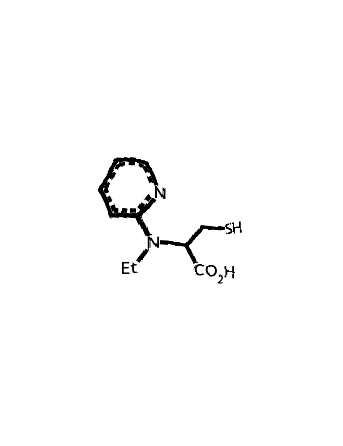 CCN(c1ccccn1)C(CS)C(=O)O